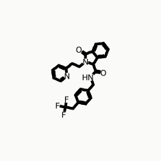 O=C(NCc1ccc(CC(F)(F)F)cc1)C1c2ccccc2C(=O)N1CCc1ccccn1